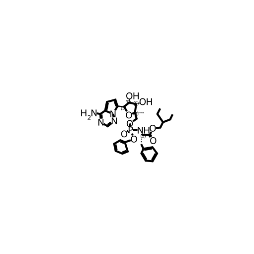 CCC(CC)COC(=O)[C@H](Cc1ccccc1)NP(=O)(OC[C@@]1(C)O[C@@H](c2ccc3c(N)ncnn23)[C@H](O)[C@@H]1O)Oc1ccccc1